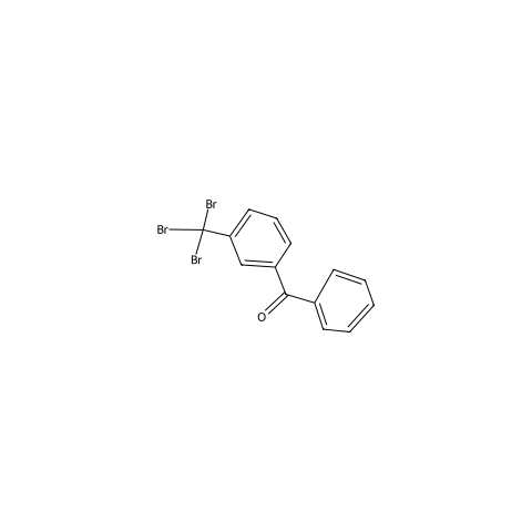 O=C(c1ccccc1)c1cccc(C(Br)(Br)Br)c1